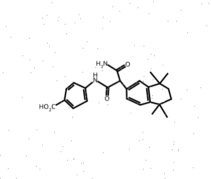 CC1(C)CCC(C)(C)c2cc(C(C(N)=O)C(=O)Nc3ccc(C(=O)O)cc3)ccc21